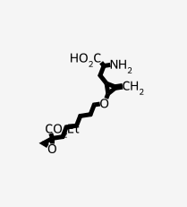 C=C1C(CC(N)C(=O)O)C1OCCCCCCC1(C(=O)OCC)CO1